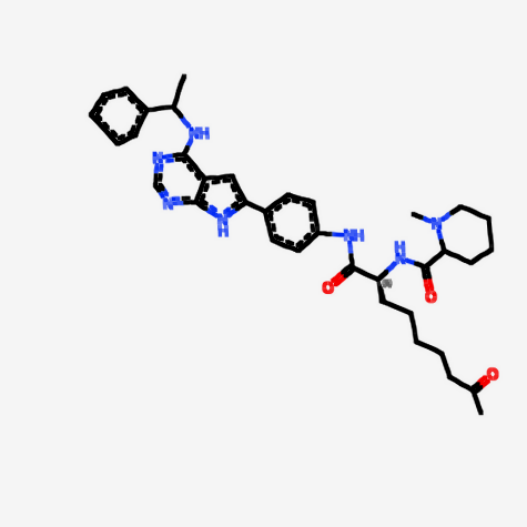 CC(=O)CCCCC[C@H](NC(=O)C1CCCCN1C)C(=O)Nc1ccc(-c2cc3c(NC(C)c4ccccc4)ncnc3[nH]2)cc1